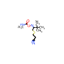 CNC(=O)ON=C(CSCCC#N)C(C)(C)C